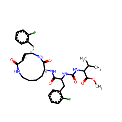 COC(=O)C(NC(=O)NC(Cc1ccccc1F)C(=O)N[C@H]1CCCCNC(=O)/C=C/[C@H](Cc2ccccc2F)NC1=O)C(C)C